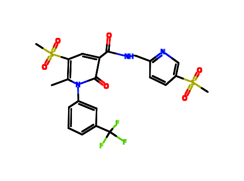 Cc1c(S(C)(=O)=O)cc(C(=O)NCc2ccc(S(C)(=O)=O)cn2)c(=O)n1-c1cccc(C(F)(F)F)c1